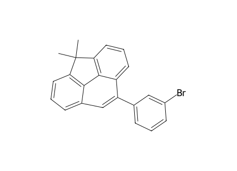 CC1(C)c2cccc3cc(-c4cccc(Br)c4)c4cccc1c4c23